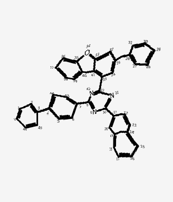 c1ccc(-c2ccc(-c3nc(-c4ccc5ccccc5c4)nc(-c4cc(-c5ccccc5)cc5oc6ccccc6c45)n3)cc2)cc1